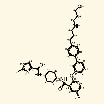 Cc1nc(C(=O)N[C@H]2CC[C@@H](NC(=O)c3cc(F)cnc3Oc3cccc(-c4ccc(CCCNCCCO)cc4)c3)CC2)cs1